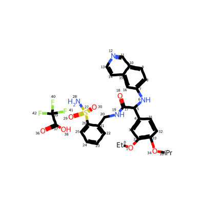 CCOc1cc(C(Nc2ccc3cnccc3c2)C(=O)NCc2ccccc2S(N)(=O)=O)ccc1OC(C)C.O=C(O)C(F)(F)F